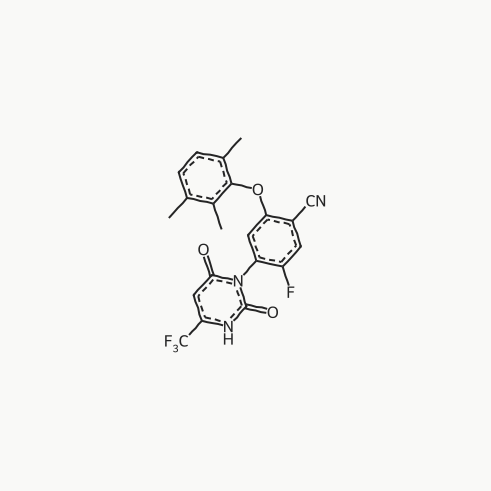 Cc1ccc(C)c(Oc2cc(-n3c(=O)cc(C(F)(F)F)[nH]c3=O)c(F)cc2C#N)c1C